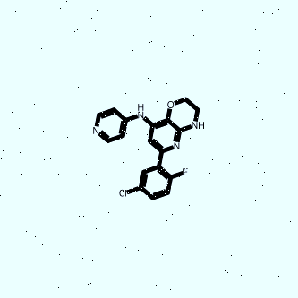 Fc1ccc(Cl)cc1-c1cc(Nc2ccncc2)c2c(n1)NCCO2